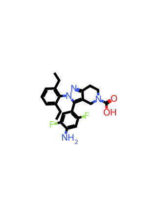 CCc1cccc(CC)c1-n1nc2c(c1-c1cc(F)c(N)cc1F)CN(C(=O)O)CC2